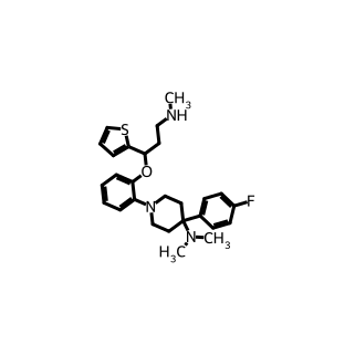 CNCCC(Oc1ccccc1N1CCC(c2ccc(F)cc2)(N(C)C)CC1)c1cccs1